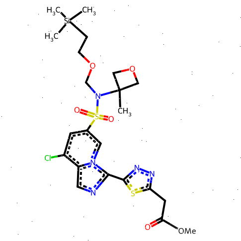 COC(=O)Cc1nnc(-c2ncc3c(Cl)cc(S(=O)(=O)N(COCC[Si](C)(C)C)C4(C)COC4)cn23)s1